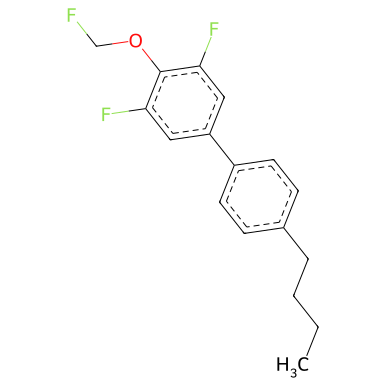 CCCCc1ccc(-c2cc(F)c(OCF)c(F)c2)cc1